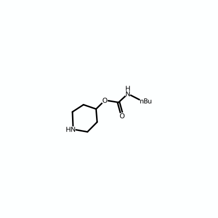 CCCCNC(=O)OC1CCNCC1